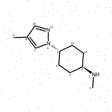 CN[C@H]1CC[C@H](n2cc(C)cn2)CC1